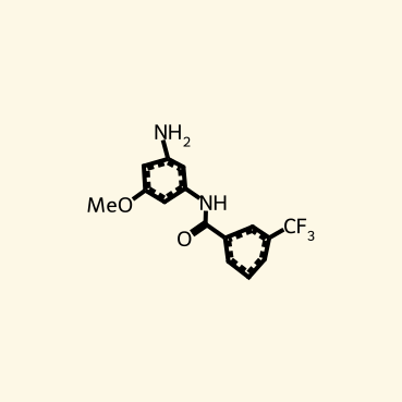 COc1cc(N)cc(NC(=O)c2cccc(C(F)(F)F)c2)c1